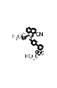 N#Cc1ccc2ccccc2c1CN(Cc1ccc(-c2cccc(S(=O)(=O)CC(=O)O)c2)cc1)Cc1ccc(C(F)(F)F)o1